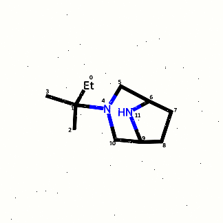 CCC(C)(C)N1CC2CCC(C1)N2